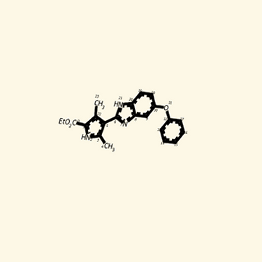 CCOC(=O)c1[nH]c(C)c(-c2nc3cc(Oc4ccccc4)ccc3[nH]2)c1C